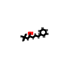 CC(C)(C)CC(O)CCCC1CCCCC1